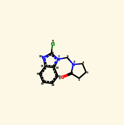 O=C1CCCN1Cn1c(Cl)nc2ccccc21